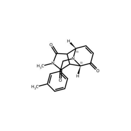 Cc1cccc(CN2[C@@H]3C(=O)C=C[C@H]2C2C(=O)N(C)C(=O)C23)c1